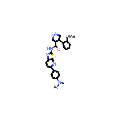 COc1ccccc1-c1cnncc1C(=O)Nc1nc2ccc(-c3ccc(N(C)C(C)=O)cc3)nc2s1